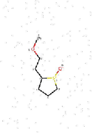 CC(C)OCCC1CCC[S+]1[O-]